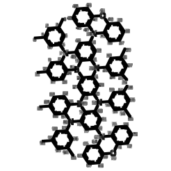 Cc1cc(C)cc(N2c3cc(C)ccc3B3c4cc5c(cc4N(c4cc(C)cc(C)c4)c4cc(N6c7ccccc7Oc7ccccc76)cc2c43)N(c2cc(C)cc(C)c2)c2cc(N3c4ccccc4Oc4ccccc43)cc3c2B5c2ccc(C)cc2N3c2cc(C)cc(C)c2)c1